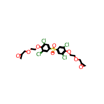 O=S(=O)(c1cc(Cl)c(OCCOCC2CO2)c(Cl)c1)c1cc(Cl)c(OCCOCC2CO2)c(Cl)c1